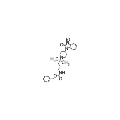 CCn1c(=O)n(C2CCN(C(C)(C)CCCNC(=O)OCc3ccccc3)CC2)c2ccccc21